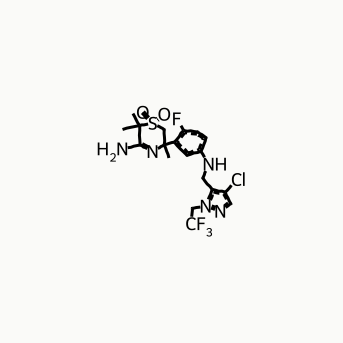 CC1(c2cc(NCc3c(Cl)cnn3CC(F)(F)F)ccc2F)CS(=O)(=O)C(C)(C)C(N)=N1